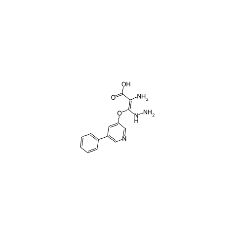 NN/C(Oc1cncc(-c2ccccc2)c1)=C(\N)C(=O)O